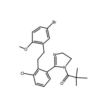 COc1ccc(Br)cc1CCc1c(Cl)cccc1C1=NCCN1C(=O)C(C)(C)C